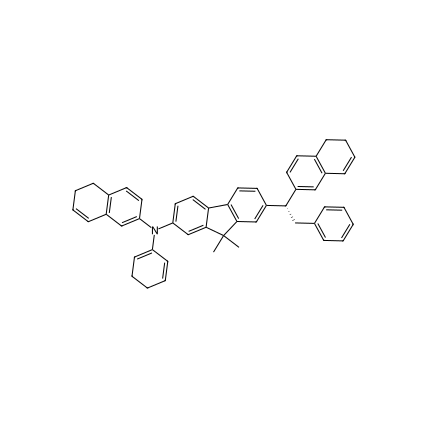 CC1(C)c2cc([C@@H](Cc3ccccc3)c3ccc4c(c3)C=CCC4)ccc2-c2ccc(N(C3=CCCC=C3)c3ccc4c(c3)C=CCC4)cc21